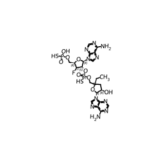 CC[C@@]1(CO[P@@](=O)(S)O[C@@H]2[C@@H](F)[C@@H](COP(=O)(O)S)O[C@H]2n2cnc3c(N)ncnc32)C[C@@H](O)[C@H](n2cnc3c(N)ncnc32)O1